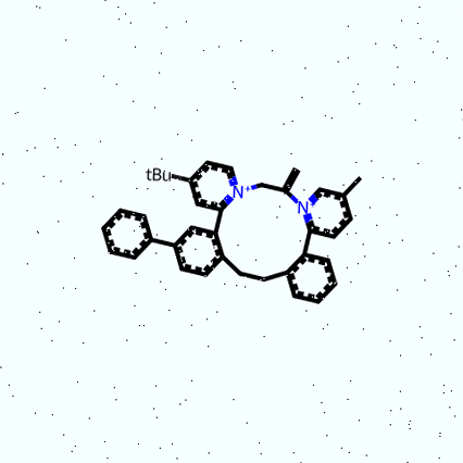 C=C1C[n+]2ccc(C(C)(C)C)cc2-c2cc(-c3ccccc3)ccc2CCc2ccccc2-c2ccc(C)c[n+]21